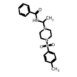 Cc1ccc(S(=O)(=O)N2CCN(C(C)NC(=O)c3ccccc3)CC2)cc1